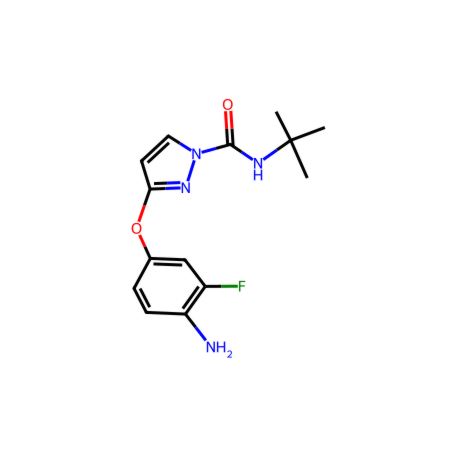 CC(C)(C)NC(=O)n1ccc(Oc2ccc(N)c(F)c2)n1